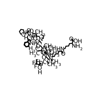 CC[C@H](C)[C@@H]([C@@H](CC(=O)N1CCC[C@H]1[C@H](OC)[C@@H](C)C(=O)N[C@@H](Cc1c[nH]c2ccccc12)C(=O)N1CCCCO1)OC)N(C)[C@H](C(=O)NC(=O)[C@H](C(C)C)N(C)CCCCCC(=O)NCCCC[C@H](N)C(=O)O)C(C)C.O=C(O)C(F)(F)F